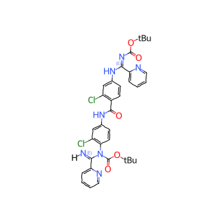 [H]/N=C(\c1ccccn1)N(C(=O)OC(C)(C)C)c1ccc(NC(=O)c2ccc(N/C(=N/C(=O)OC(C)(C)C)c3ccccn3)cc2Cl)cc1Cl